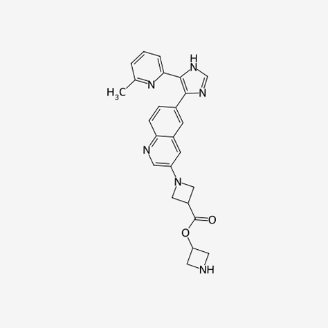 Cc1cccc(-c2[nH]cnc2-c2ccc3ncc(N4CC(C(=O)OC5CNC5)C4)cc3c2)n1